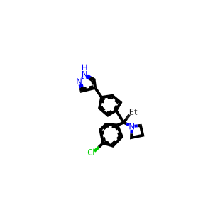 CCC(c1ccc(Cl)cc1)(c1ccc(-c2cn[nH]c2)cc1)N1CCC1